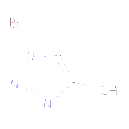 CC1=CN(Br)N=[N+]1